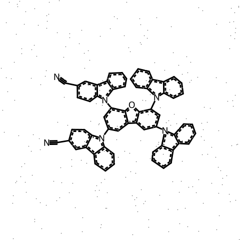 N#Cc1ccc2c(c1)c1ccccc1n2-c1cc(-n2c3ccccc3c3cc(C#N)ccc32)c2oc3c(-n4c5ccccc5c5ccccc54)cc(-n4c5ccccc5c5ccccc54)cc3c2c1